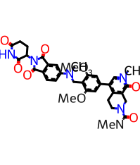 CNC(=O)N1CCc2c(-c3cc(OC)c(CN(C)c4ccc5c(c4)C(=O)N(C4CCC(=O)NC4=O)C5=O)c(OC)c3)cn(C)c(=O)c2C1